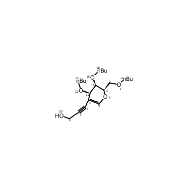 CCCCOC[C@H]1OC=C(C#CCO)[C@@H](OCCCC)[C@H]1OCCCC